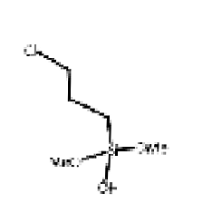 CO[Si](O)(CCCCl)OC